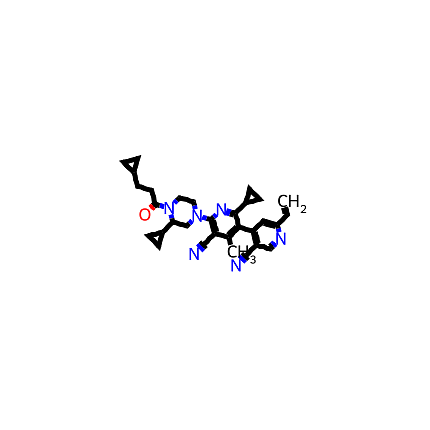 C=Cc1cc(-c2c(C3CC3)nc(N3CCN(C(=O)CCC4CC4)C(C4CC4)C3)c(C#N)c2C)c(C#N)cn1